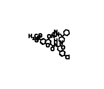 CS(=O)(=O)c1ccc2oc(C(=O)N[C@H](Cc3ccc(Cl)cc3)C(=O)N3CCC(Cn4cncn4)(C4CCCCC4)CC3)cc(=O)c2c1